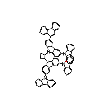 c1ccc2c(c1)cc(-c1ccc3c(c1)c1cc(-n4c5ccccc5c5ccccc54)ccc1n3C1CCC1n1c3ccc(-n4c5ccccc5c5ccccc54)cc3c3cc(-n4c5ccccc5c5ccccc54)ccc31)c1ccccc12